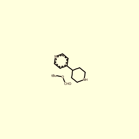 CC(C)(C)OC=O.c1cc(C2CCNCC2)ccn1